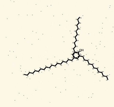 CCCCCCCCCCCCCCCCCCc1cc(CCCCCCCCCCCC)c(O)c(CCCCCCCCCCCC)c1